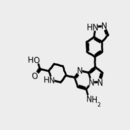 Nc1cc(C2CCC(C(=O)O)NC2)nc2c(-c3ccc4[nH]ncc4c3)cnn12